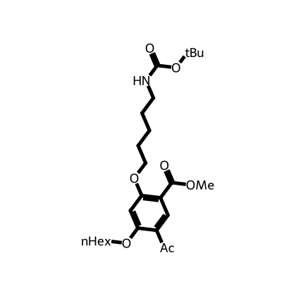 CCCCCCOc1cc(OCCCCCNC(=O)OC(C)(C)C)c(C(=O)OC)cc1C(C)=O